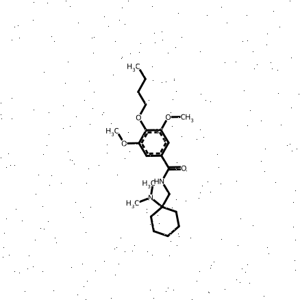 CCCCOc1c(OC)cc(C(=O)NCC2(N(C)C)CCCCC2)cc1OC